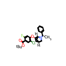 C[C@@H](c1ccccc1)N1C[C@H]2C[C@@H]1[C@H](Oc1cc(F)c(C(=O)OC(C)(C)C)cc1Cl)C2